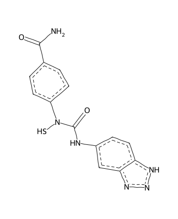 NC(=O)c1ccc(N(S)C(=O)Nc2ccc3[nH]nnc3c2)cc1